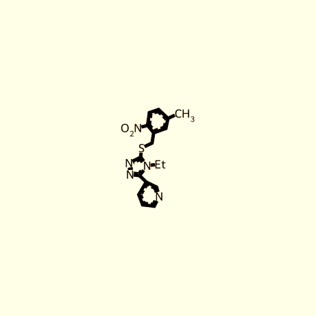 CCn1c(SCc2cc(C)ccc2[N+](=O)[O-])nnc1-c1cccnc1